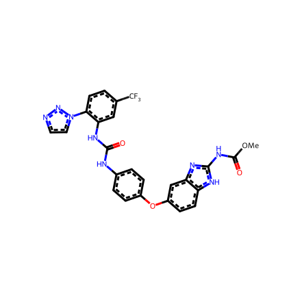 COC(=O)Nc1nc2cc(Oc3ccc(NC(=O)Nc4cc(C(F)(F)F)ccc4-n4ccnn4)cc3)ccc2[nH]1